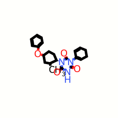 CC1CC(Oc2ccccc2)CC[C@@H]1n1c(=O)[nH]c(=O)n(C2=CCCC=C2)c1=O